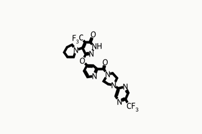 O=C(c1cc(Oc2n[nH]c(=O)c(C(F)(F)F)c2N2CCCCC2)ccn1)N1CCN(c2cnc(C(F)(F)F)cn2)CC1